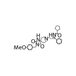 COc1ccc(CN2C(=O)NC3(CCN(CC[C@H](NC(=O)C4CCCC4)c4ccccc4)CC3)C2=O)cc1